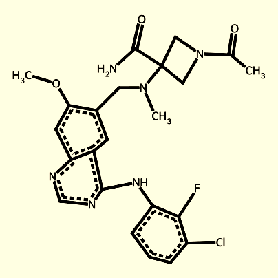 COc1cc2ncnc(Nc3cccc(Cl)c3F)c2cc1CN(C)C1(C(N)=O)CN(C(C)=O)C1